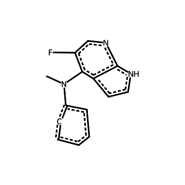 CN(c1ccccc1)c1c(F)cnc2[nH]ccc12